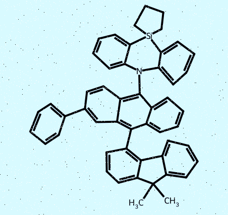 CC1(C)c2ccccc2-c2c(-c3c4ccccc4c(N4c5ccccc5[Si]5(CCCC5)c5ccccc54)c4ccc(-c5ccccc5)cc34)cccc21